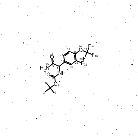 CC(C)(C)OC(=O)NC(C(N)=O)c1ccc(OC(F)(F)F)c(F)c1